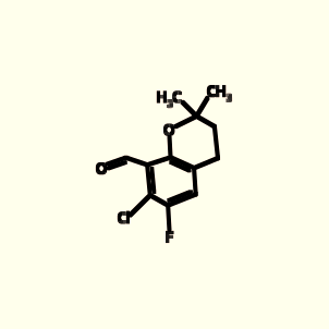 CC1(C)CCc2cc(F)c(Cl)c(C=O)c2O1